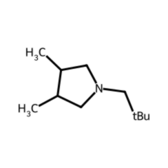 CC1CN(CC(C)(C)C)CC1C